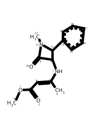 COC(=O)C=C(C)NC1C(=O)N(C)C1c1ccccc1